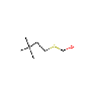 CC(C)(C)CCSCO